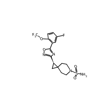 NS(=O)(=O)N1CCC2(CC1)C[C@H]2c1noc(-c2cc(F)ccc2OC(F)(F)F)n1